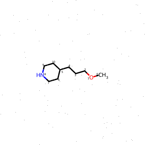 COCC[CH]C1CCNCC1